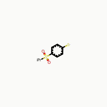 CC(C)S(=O)(=O)c1ccc([S])cc1